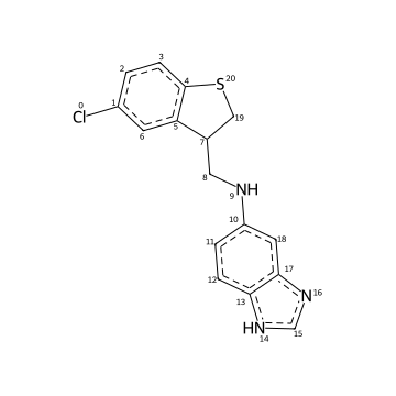 Clc1ccc2c(c1)C(CNc1ccc3[nH]cnc3c1)CS2